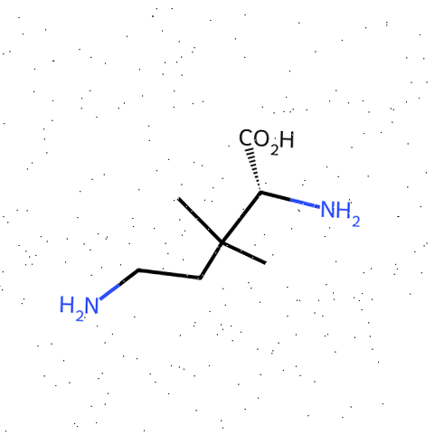 CC(C)(CCN)[C@@H](N)C(=O)O